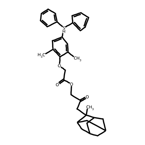 Cc1cc([SH](c2ccccc2)c2ccccc2)cc(C)c1OCC(=O)OCC(=O)CC1(C)C2CC3CC(C2)CC1C3